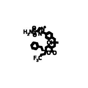 Cn1cc(S(N)(=O)=O)nc1-c1ccc(CC(C)(C)CC2=C(O)C[C@@](CCc3ccccc3)(CCC(F)(F)F)OC2=O)cc1